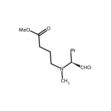 COC(=O)CCCN(C)[C@H]([C]=O)C(C)C